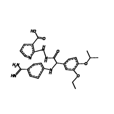 CCOc1cc(C(Nc2ccc(C(=N)N)cc2)C(=O)NNc2ncccc2C(=O)O)ccc1OC(C)C